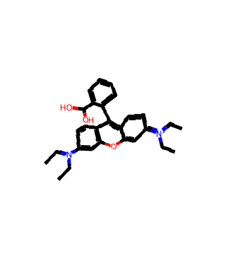 CCN(CC)c1ccc2c(-c3ccccc3C(O)O)c3ccc(=[N+](CC)CC)cc-3oc2c1